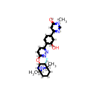 Cn1cnc(-c2ccc(-c3ccc(O[C@@H]4C[C@@]5(C)CCC[C@](C)(N5)[C@@H]4F)nn3)c(O)c2)cc1=O